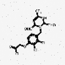 O=CC1C=C(C(F)(F)F)NC(C=O)N1Cc1ccc(OCC(=O)Cl)c(Cl)c1Cl